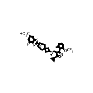 Cc1cccc(OC(F)(F)F)c1-c1noc(C2CC2)c1CN(C)C1CC2(C1)CC1CCC(C2)N1c1nc2c(F)cc(C(=O)O)cc2s1